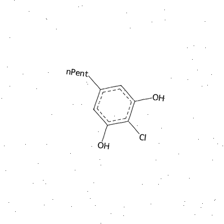 CCCCCc1cc(O)c(Cl)c(O)c1